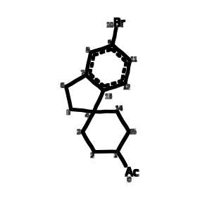 CC(=O)C1CCC2(CCc3cc(Br)ccc32)CC1